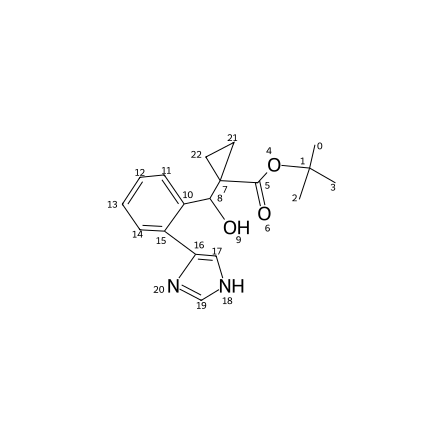 CC(C)(C)OC(=O)C1(C(O)c2ccccc2-c2c[nH]cn2)CC1